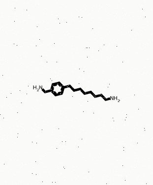 NCCCCCCCCc1ccc(CN)cc1